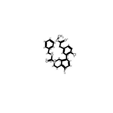 COC(=O)Cc1ccc(Cl)c(-c2ccc(F)c3c2CN(C(=O)OCc2ccccc2)CC3)c1